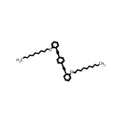 CCCCCCCCCCOc1ccccc1C#Cc1ccc(C#Cc2ccccc2OCCCCCCCCCC)cc1